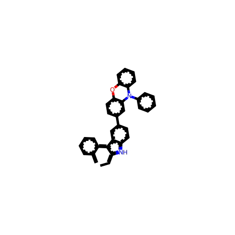 C=c1cccc/c1=c1/c(=C\C)[nH]c2ccc(-c3ccc4c(c3)N(c3ccccc3)c3ccccc3O4)cc12